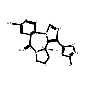 Cc1noc(-c2ncn3c2[C@@H]2CCCN2C(=O)c2cc(F)ccc2-3)n1